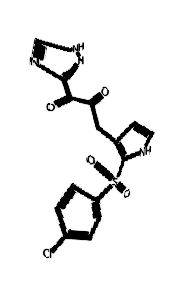 O=C(Cc1cc[nH]c1S(=O)(=O)c1ccc(Cl)cc1)C(=O)c1nc[nH]n1